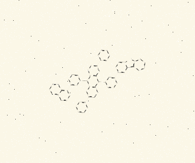 c1ccc(-c2ccc3c(-c4cccc(-c5cccc6ccccc56)c4)c4cc(-c5ccccc5)ccc4c(-c4cccc(-c5ccc6oc7ccccc7c6c5)c4)c3c2)cc1